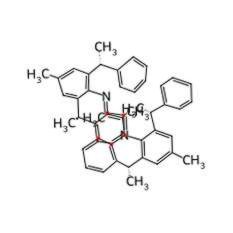 CC(=N\c1c([C@H](C)c2ccccc2)cc(C)cc1[C@H](C)c1ccccc1)/C(C)=N/c1c([C@H](C)c2ccccc2)cc(C)cc1[C@H](C)c1ccccc1